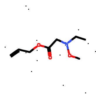 C=CCOC(=O)CN(CC)OC